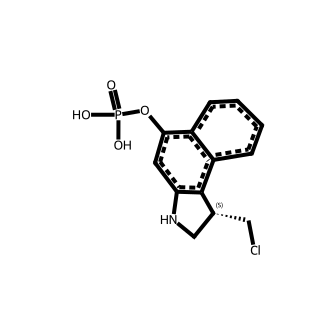 O=P(O)(O)Oc1cc2c(c3ccccc13)[C@H](CCl)CN2